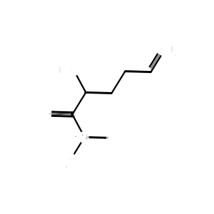 C=CCCC(C)C(=O)N(CC)CC